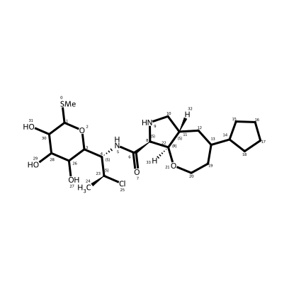 CSC1OC([C@H](NC(=O)[C@H]2NC[C@@H]3CC(C4CCCC4)CCO[C@H]32)[C@H](C)Cl)C(O)C(O)C1O